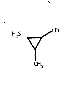 CCCC1CC1C.S